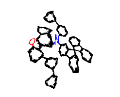 c1ccc(-c2cccc(-c3cccc4oc5c6ccccc6c(N(c6cccc(-c7ccccc7)c6)c6ccc7c(c6)C6(c8ccccc8-c8ccccc86)c6ccccc6-7)cc5c34)c2)cc1